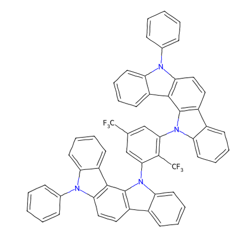 FC(F)(F)c1cc(-n2c3ccccc3c3ccc4c(c5ccccc5n4-c4ccccc4)c32)c(C(F)(F)F)c(-n2c3ccccc3c3ccc4c(c5ccccc5n4-c4ccccc4)c32)c1